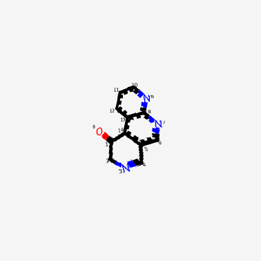 O=C1CN=Cc2cnc3ncccc3c21